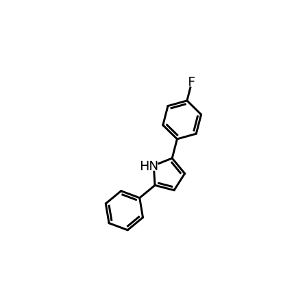 Fc1ccc(-c2ccc(-c3ccccc3)[nH]2)cc1